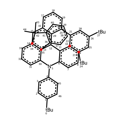 CC(C)(C)c1ccc(N(c2ccccc2-c2cccc3cccc(-c4cc(C(C)(C)C)cc(C(C)(C)C)c4)c23)c2cccc3c2-c2ccccc2C3(C)C)cc1